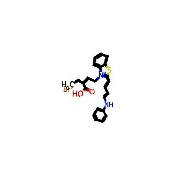 CCC(CC[n+]1c(C=CC=CNc2ccccc2)sc2ccccc21)C(=O)O.[Br-]